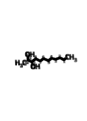 CCCCCCCCC[C@@H](O)[C@H](C)O